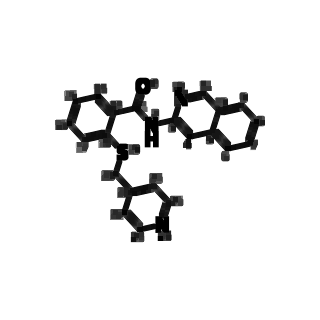 O=C(Nc1cc2ccccc2cn1)c1ccccc1SCc1ccncc1